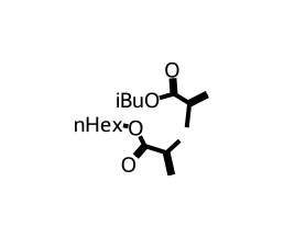 C=C(C)C(=O)OCC(C)C.C=C(C)C(=O)OCCCCCC